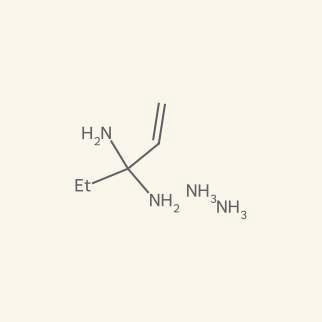 C=CC(N)(N)CC.N.N